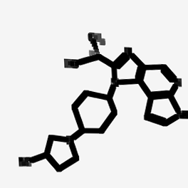 C[C@@H](O)c1nc2cnc3[nH]ccc3c2n1C1CCC(N2CCC(C#N)C2)CC1